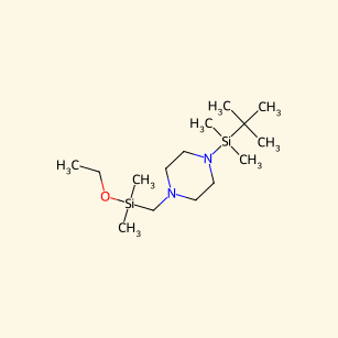 CCO[Si](C)(C)CN1CCN([Si](C)(C)C(C)(C)C)CC1